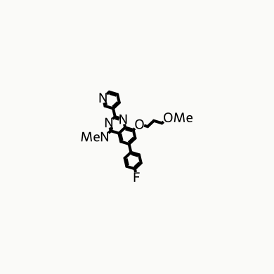 CNc1nc(-c2cccnc2)nc2c(OCCCOC)cc(-c3ccc(F)cc3)cc12